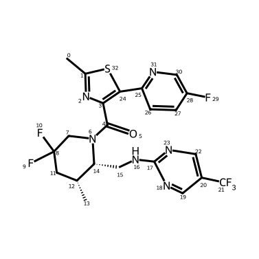 Cc1nc(C(=O)N2CC(F)(F)C[C@@H](C)[C@H]2CNc2ncc(C(F)(F)F)cn2)c(-c2ccc(F)cn2)s1